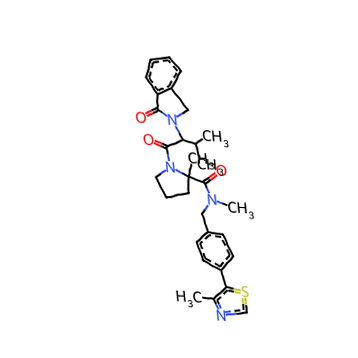 Cc1ncsc1-c1ccc(CN(C)C(=O)C2(C)CCCN2C(=O)C(C(C)C)N2Cc3ccccc3C2=O)cc1